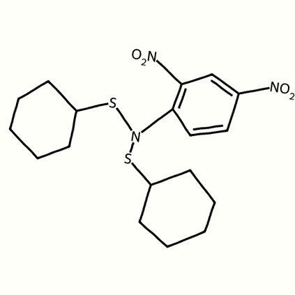 O=[N+]([O-])c1ccc(N(SC2CCCCC2)SC2CCCCC2)c([N+](=O)[O-])c1